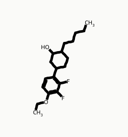 CCCCCC1CCC(c2ccc(OCC)c(F)c2F)CC1O